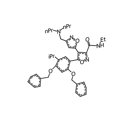 CCCN(CCC)Cc1cc(-c2c(C(=O)NCC)noc2-c2cc(C(C)C)c(OCc3ccccc3)cc2OCc2ccccc2)on1